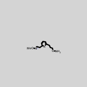 CO/N=C/Cc1cccc(CCCON)n1